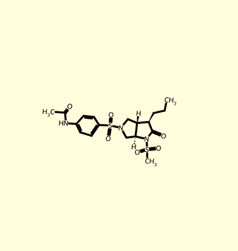 CCC[C@H]1C(=O)N(S(C)(=O)=O)[C@H]2CN(S(=O)(=O)c3ccc(NC(C)=O)cc3)C[C@H]12